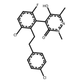 Cc1nn(C)c(=O)c(-c2c(F)ccc(Cl)c2CCc2ccc(Cl)cc2)c1O